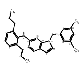 CCCc1cccc(CCC)c1Nc1ccc2ccn(Cc3cc(C)cc(C)c3)c2n1